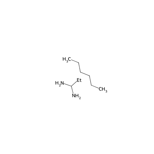 CCC(N)N.CCCCCC